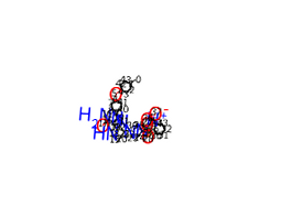 Cc1ccc(Oc2ccc(-n3nc4c(c3C(N)=O)NCC[C@H]4N3CCN(S(=O)(=O)c4ccccc4[N+](=O)[O-])CC3)cc2)cc1